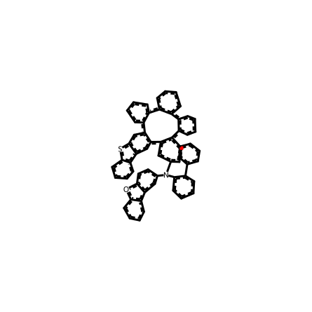 c1ccc(-c2ccccc2N(c2ccc3oc4ccccc4c3c2)c2ccc3c4ccccc4c4ccccc4c4ccccc4c4cc5sc6ccccc6c5cc4c3c2)cc1